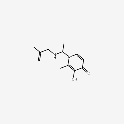 C=C(C)CNC(C)n1ccc(=O)c(O)c1C